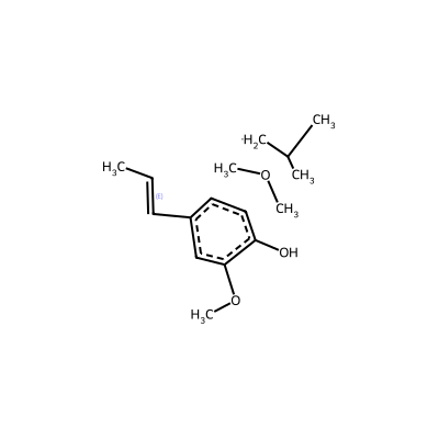 C/C=C/c1ccc(O)c(OC)c1.COC.[CH2]C(C)C